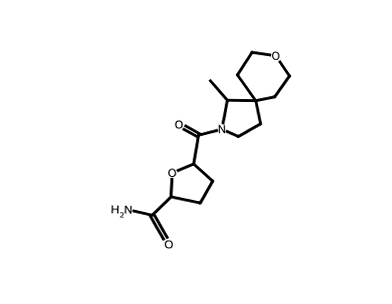 CC1N(C(=O)C2CCC(C(N)=O)O2)CCC12CCOCC2